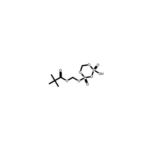 CC(C)(C)C(=O)OCOP1(=O)OCOP(=O)(O)O1